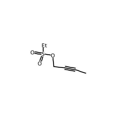 CC#CCOS(=O)(=O)CC